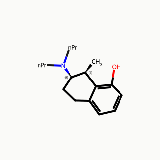 CCCN(CCC)[C@@H]1CCc2cccc(O)c2[C@@H]1C